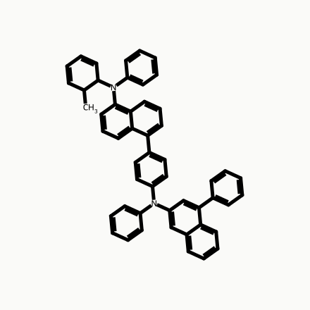 CC1C=CC=CC1N(c1ccccc1)c1cccc2c(-c3ccc(N(c4ccccc4)c4cc(-c5ccccc5)c5ccccc5c4)cc3)cccc12